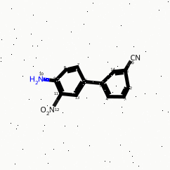 N#Cc1cccc(-c2ccc(N)c([N+](=O)[O-])c2)c1